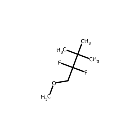 COCC(F)(F)C(C)(C)C